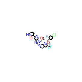 O=c1[nH]cccc1-c1cc2nc(CN3CCc4cc(C(F)(F)F)c(OCc5ccc(Cl)cc5F)nc4C3)n(C[C@@H]3CCO3)c2cn1